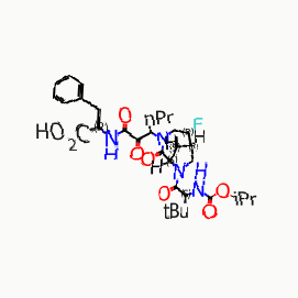 CCCC(C(=O)C(=O)N[C@H](Cc1ccccc1)C(=O)O)N1C[C@H](F)[C@H]2CN(C(=O)[C@@H](NC(=O)OC(C)C)C(C)(C)C)[C@H](C1=O)[C@H]2C